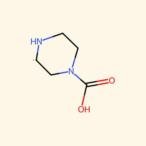 O=C(O)N1C[CH]NCC1